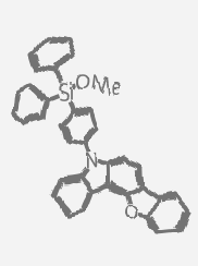 CO[Si](c1ccccc1)(c1ccccc1)c1ccc(-n2c3ccccc3c3c4oc5ccccc5c4ccc32)cc1